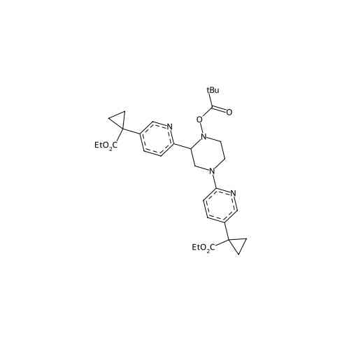 CCOC(=O)C1(c2ccc(C3CN(c4ccc(C5(C(=O)OCC)CC5)cn4)CCN3OC(=O)C(C)(C)C)nc2)CC1